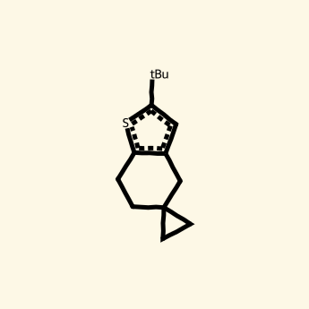 CC(C)(C)c1cc2c(s1)CCC1(CC1)C2